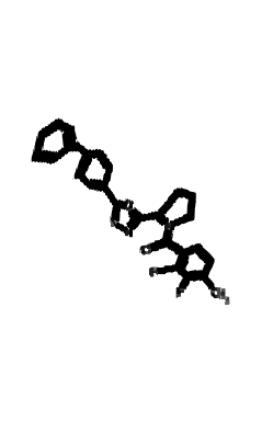 Cc1ccc(C(=O)N2CCCC2c2nnc(-c3ccc(-c4ccccc4)cc3)o2)c(F)c1F